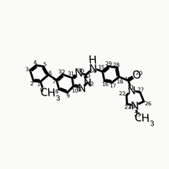 Cc1ccccc1-c1ccc2nnc(Nc3ccc(C(=O)N4CCN(C)CC4)cc3)nc2c1